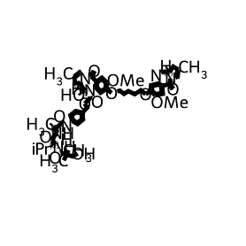 COc1cc2c(cc1OCCCCCOc1cc3c(cc1OC)C(=O)N1C=C(C)C[C@H]1[C@H](O)N3C(=O)OCc1ccc(NC(=O)[C@H](C)NC(=O)[C@@H](NC(=O)C(C)(C)CO)C(C)C)cc1)N=C[C@@H]1CC(C)=CN1C2=O